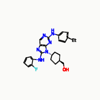 CCc1ccc(Nc2ncc3nc(Nc4ccccc4F)n([C@H]4CC[C@H](CO)CC4)c3n2)cc1